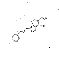 CCOC(=O)c1nnc2c(ccn2COCc2ccccc2)c1O